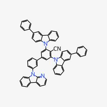 N#Cc1c(-n2c3ccccc3c3cc(-c4ccccc4)ccc32)cc(-c2cccc(-n3c4ccccc4c4cccnc43)c2)cc1-n1c2ccccc2c2cc(-c3ccccc3)ccc21